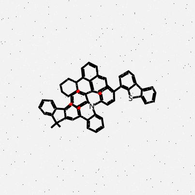 CC1(C)c2ccccc2-c2ccc(-c3ccccc3N(c3ccc(-c4cccc5c4sc4ccccc45)cc3)c3ccccc3-c3cccc4cccc(C5CCCCC5)c34)cc21